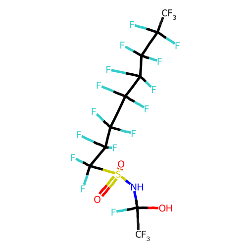 O=S(=O)(NC(O)(F)C(F)(F)F)C(F)(F)C(F)(F)C(F)(F)C(F)(F)C(F)(F)C(F)(F)C(F)(F)C(F)(F)F